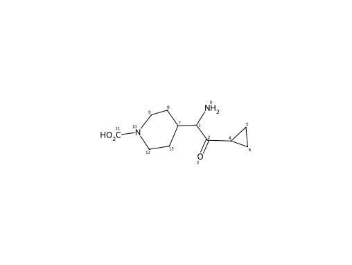 NC(C(=O)C1CC1)C1CCN(C(=O)O)CC1